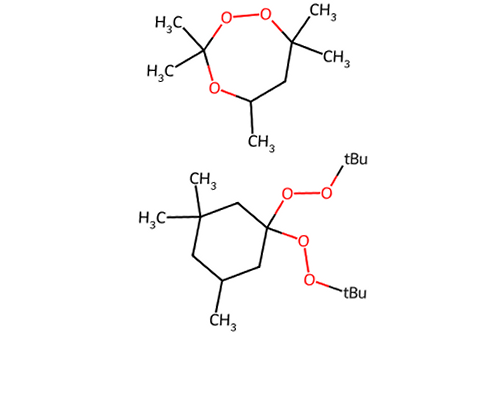 CC1CC(C)(C)CC(OOC(C)(C)C)(OOC(C)(C)C)C1.CC1CC(C)(C)OOC(C)(C)O1